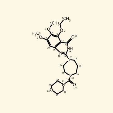 CCOc1c(OC)c(OC)cc2nc(N3CCCN(C(=O)N4CCOCC4)CC3)[nH]c(=O)c12